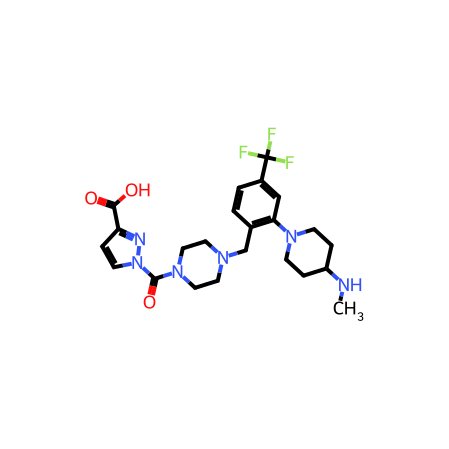 CNC1CCN(c2cc(C(F)(F)F)ccc2CN2CCN(C(=O)n3ccc(C(=O)O)n3)CC2)CC1